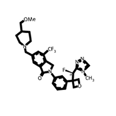 COCC1CCN(Cc2cc3c(c(C(F)(F)F)c2)CN(c2cccc(C4([C@@H](F)c5nncn5C)COC4)c2)C3=O)CC1